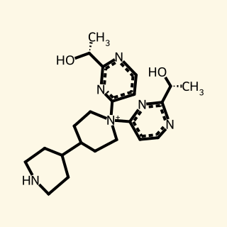 C[C@@H](O)c1nccc([N+]2(c3ccnc([C@@H](C)O)n3)CCC(C3CCNCC3)CC2)n1